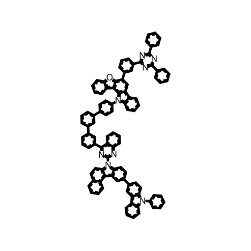 c1ccc(-c2nc(-c3ccccc3)nc(-c3cccc(-c4cc5c6ccccc6n(-c6ccc(-c7cccc(-c8cccc(-c9nc(-n%10c%11ccc(-c%12ccc%13c(c%12)c%12ccccc%12n%13-c%12ccccc%12)cc%11c%11c%12ccccc%12ccc%11%10)nc%10ccccc9%10)c8)c7)cc6)c5c5c4oc4ccccc45)c3)n2)cc1